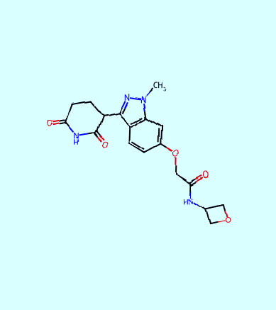 Cn1nc(C2CCC(=O)NC2=O)c2ccc(OCC(=O)NC3COC3)cc21